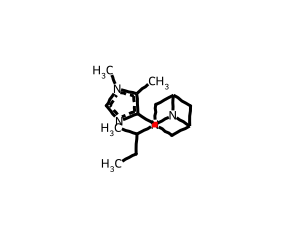 CCC(C)N1CC2CC(C1)N2Cc1ncn(C)c1C